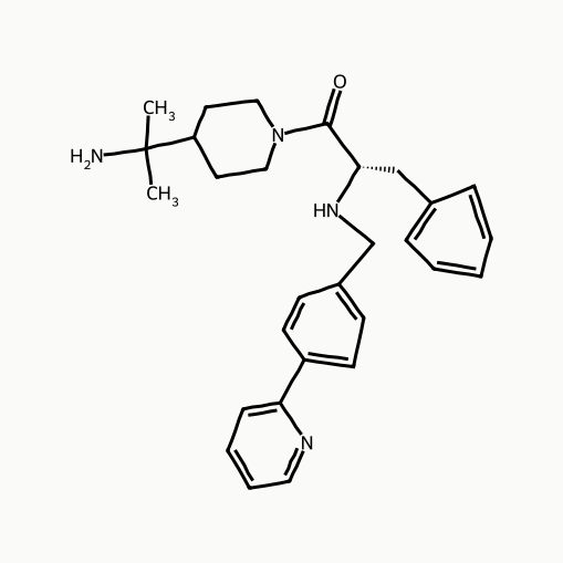 CC(C)(N)C1CCN(C(=O)[C@H](Cc2ccccc2)NCc2ccc(-c3ccccn3)cc2)CC1